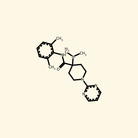 Cc1cccc(C)c1NC(=O)C1(N(C)C)CCN(c2ncccn2)CC1